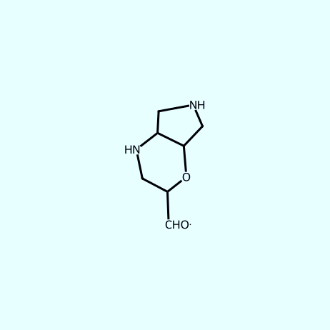 O=[C]C1CNC2CNCC2O1